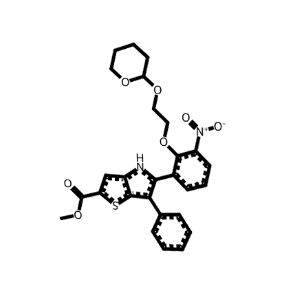 COC(=O)c1cc2[nH]c(-c3cccc([N+](=O)[O-])c3OCCOC3CCCCO3)c(-c3ccccc3)c2s1